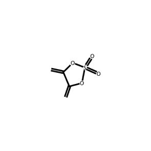 C=C1OS(=O)(=O)OC1=C